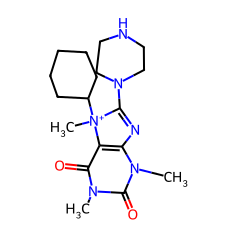 Cn1c2c(c(=O)n(C)c1=O)[N+](C)(C1CCCCC1)C(N1CCNCC1)=N2